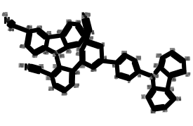 N#Cc1cc(-c2ccc(-n3c4ccccc4c4ccccc43)cc2)cc(-c2cccc(C#N)c2-n2c3ccccc3c3cc(C#N)ccc32)c1